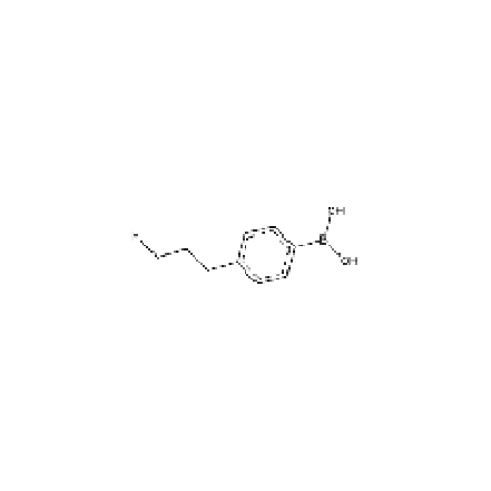 OB(O)c1ccc(CCCF)cc1